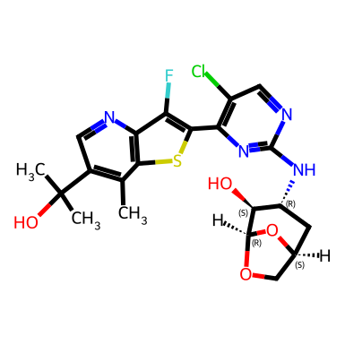 Cc1c(C(C)(C)O)cnc2c(F)c(-c3nc(N[C@@H]4C[C@H]5CO[C@H](O5)[C@H]4O)ncc3Cl)sc12